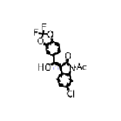 CC(=O)N1C(=O)/C(=C(/O)c2ccc3c(c2)OC(F)(F)O3)c2ccc(Cl)cc21